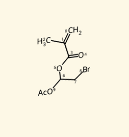 C=C(C)C(=O)OC(CBr)OC(C)=O